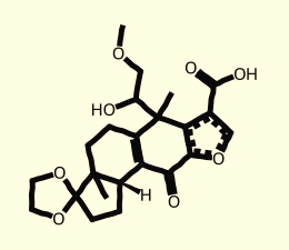 COCC(O)C1(C)C2=C(C(=O)c3occ(C(=O)O)c31)[C@@H]1CCC3(OCCO3)C1(C)CC2